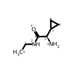 CCNC(=O)[C@H](N)C1CC1